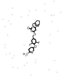 Cc1ccc(Oc2c(F)cc(COc3cc4n(c(=O)n3)CC35CCC(CC3)N45)cc2F)cn1